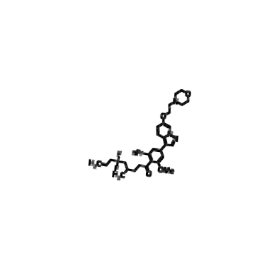 C=CCC(F)(F)CC(C)CCC(=O)c1c(CCC)cc(-c2cnn3cc(OCCN4CCOCC4)ccc23)cc1OC